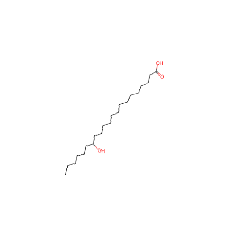 CCCCCCC(O)CCCCCCCCCCCCCC(=O)O